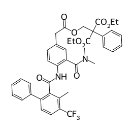 CCOC(=O)C(COC(=O)Cc1ccc(NC(=O)c2c(-c3ccccc3)ccc(C(F)(F)F)c2C)c(C(=O)N(C)C)c1)(C(=O)OCC)c1ccccc1